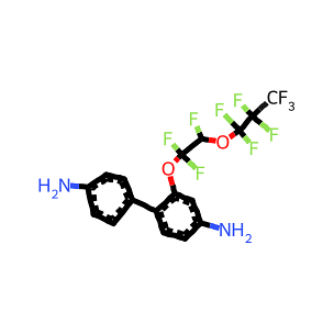 Nc1ccc(-c2ccc(N)cc2OC(F)(F)C(F)OC(F)(F)C(F)(F)C(F)(F)F)cc1